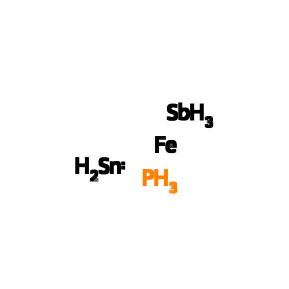 P.[Fe].[SbH3].[SnH2]